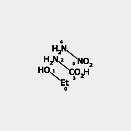 CCO.NC(=O)O.N[N+](=O)[O-]